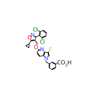 O=C(O)c1cccc(Cn2cc(F)c3nc(OCc4c(-c5c(Cl)cccc5Cl)noc4C4CC4)ccc32)c1